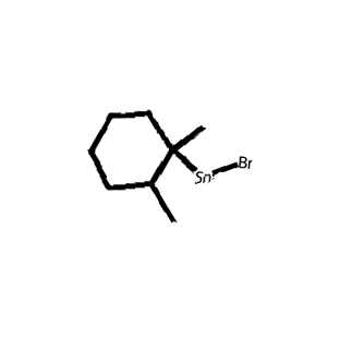 CC1CCCC[C]1(C)[Sn][Br]